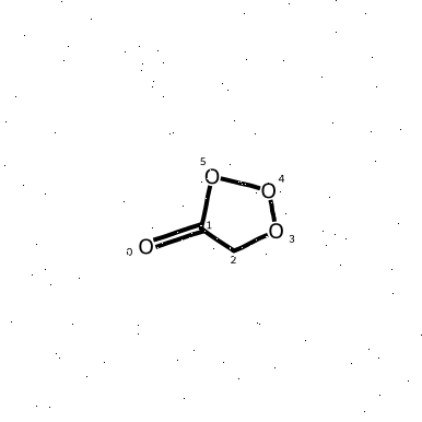 O=C1COOO1